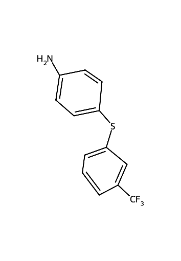 Nc1ccc(Sc2cccc(C(F)(F)F)c2)cc1